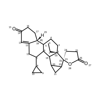 CC[C@]12CCC3C(C(C4CC4)CC4=CC(=O)CC[C@@H]43)C1C1CC1[C@@]21CCC(=O)O1